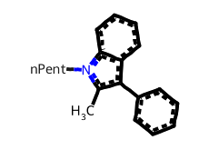 CCCCCn1c(C)c(-c2ccccc2)c2ccccc21